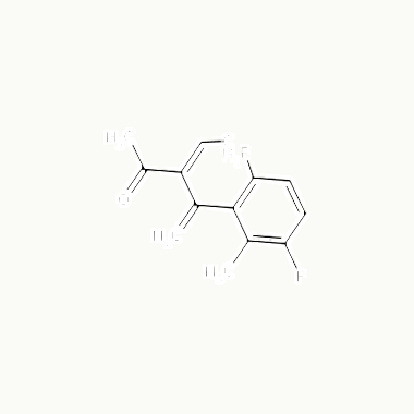 C=C(/C(=C\C)C(C)=O)c1c(F)ccc(F)c1C